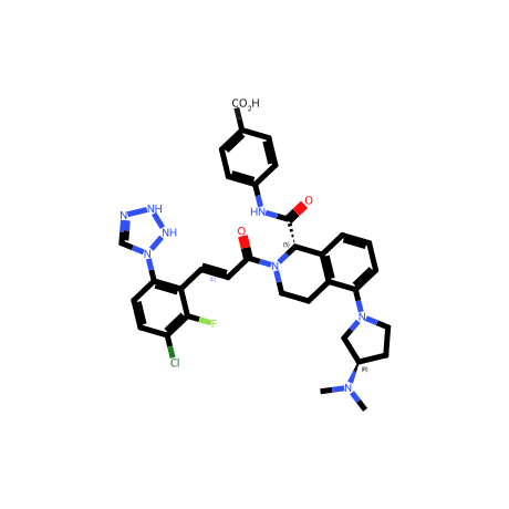 CN(C)[C@@H]1CCN(c2cccc3c2CCN(C(=O)/C=C/c2c(N4C=NNN4)ccc(Cl)c2F)[C@@H]3C(=O)Nc2ccc(C(=O)O)cc2)C1